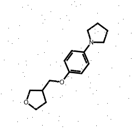 c1cc(N2CCCC2)ccc1OCC1CCOC1